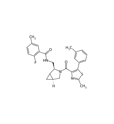 Cc1cccc(-c2sc(C)nc2C(=O)N2C[C@H]3CC3[C@H]2CNC(=O)c2cc(C)ccc2F)c1